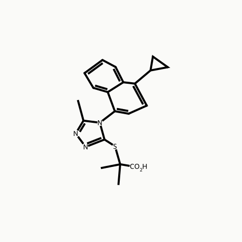 Cc1nnc(SC(C)(C)C(=O)O)n1-c1ccc(C2CC2)c2ccccc12